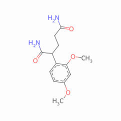 COc1ccc(C(CCC(N)=O)C(N)=O)c(OC)c1